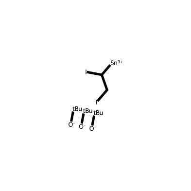 CC(C)(C)[O-].CC(C)(C)[O-].CC(C)(C)[O-].[Sn+3][CH](I)CI